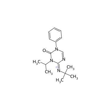 CC(C)n1c(=O)n(-c2ccccc2)cn/c1=N\C(C)(C)C